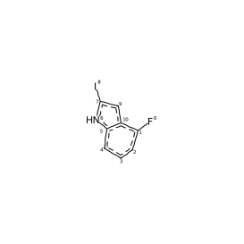 Fc1cccc2[nH]c(I)cc12